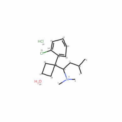 CC(C)CC(N(C)C)C1(c2ccccc2Cl)CCC1.Cl.O